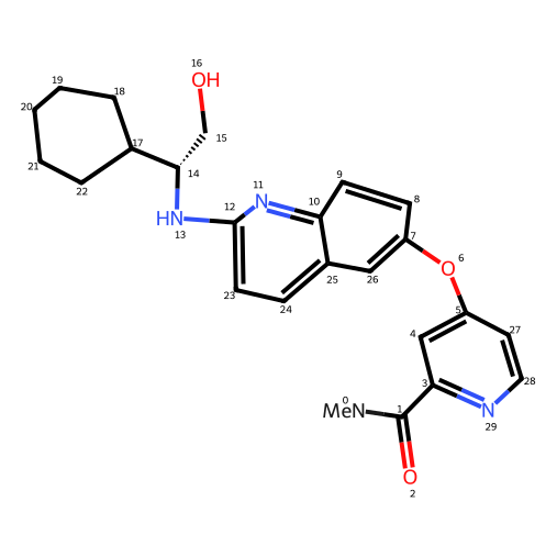 CNC(=O)c1cc(Oc2ccc3nc(N[C@@H](CO)C4CCCCC4)ccc3c2)ccn1